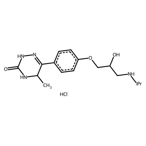 CC(C)NCC(O)COc1ccc(C2=NNC(=O)NC2C)cc1.Cl